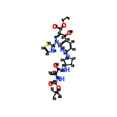 CCOC(=O)c1cn(-c2nccs2)c2nc(N3CCC(NC(=O)[C@H](C)NC(=O)OC(C)(C)C)C3)ccc2c1=O